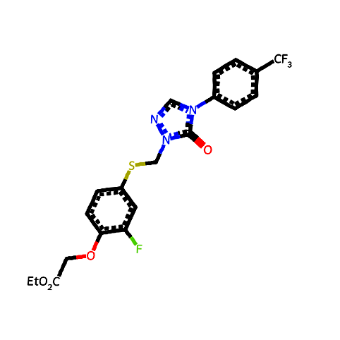 CCOC(=O)COc1ccc(SCn2ncn(-c3ccc(C(F)(F)F)cc3)c2=O)cc1F